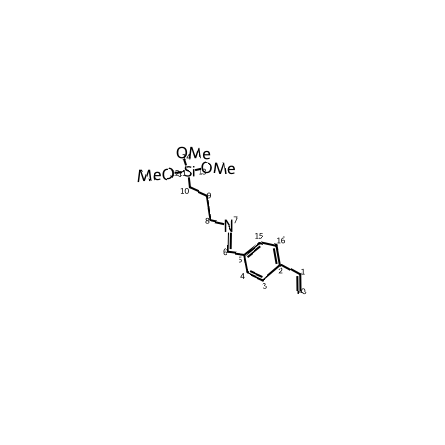 C=Cc1ccc(C=NCCC[Si](OC)(OC)OC)cc1